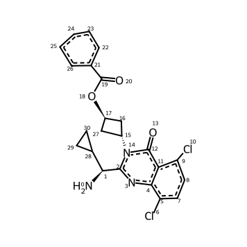 N[C@H](c1nc2c(Cl)ccc(Cl)c2c(=O)n1[C@H]1C[C@H](OC(=O)c2ccccc2)C1)C1CC1